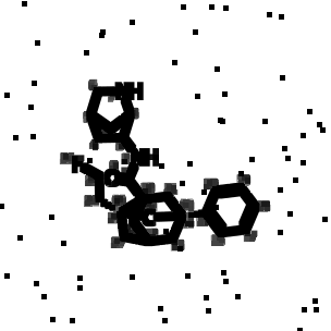 O=C(NC1CC2CNC1C2)C12CC3C[C@](c4ccccc4)(C1)C[C@@]2(CCF)C3